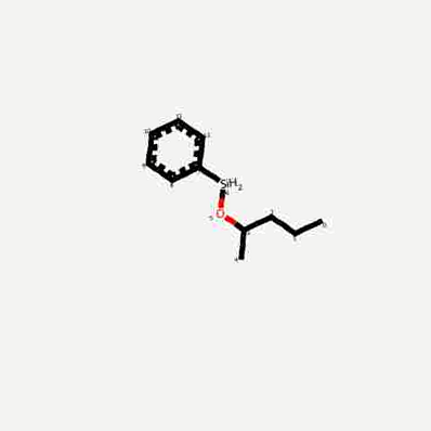 CCCC(C)O[SiH2]c1ccccc1